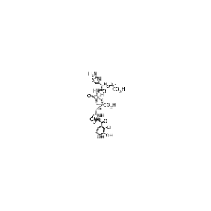 COCC(CSC1(C(=O)O)CN2C(=O)C(NC(=O)/C(=N\OC(C)(C)C(=O)O)c3csc(N)n3)[C@H]2S1)NC(=O)C(=O)c1ccc(O)c(O)c1Cl